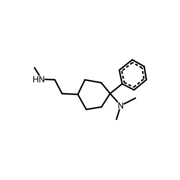 CNCCC1CCC(c2ccccc2)(N(C)C)CC1